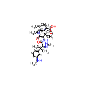 CNc1cccc(C(C)(C)C(NC)C(=O)N[C@H](C(=O)N(C)[C@H](/C=C(\C)C(=O)O)C(C)C)C(C)(C)C)c1